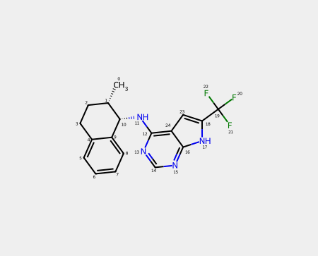 C[C@H]1CCc2ccccc2[C@H]1Nc1ncnc2[nH]c(C(F)(F)F)cc12